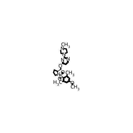 COc1cc(C)c(S(=O)(=O)N2CCC[C@H]2COc2ccnc(N3CCN(C)CC3)n2)c(C)c1